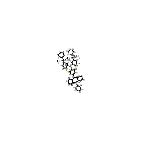 CC(C)(c1ccccc1)c1ccc2c(c1)B1c3cc(C(C)(C)[C@H]4C=CC=CC4)ccc3Sc3cc(-c4c5ccccc5c(-c5ccccc5)c5ccccc45)cc(c31)S2